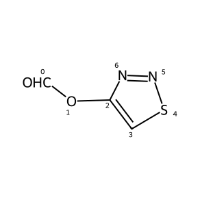 O=COc1csnn1